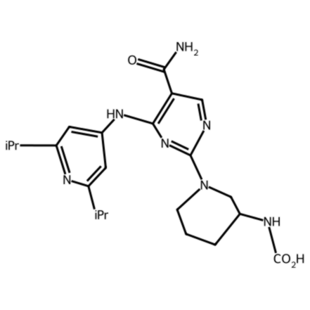 CC(C)c1cc(Nc2nc(N3CCCC(NC(=O)O)C3)ncc2C(N)=O)cc(C(C)C)n1